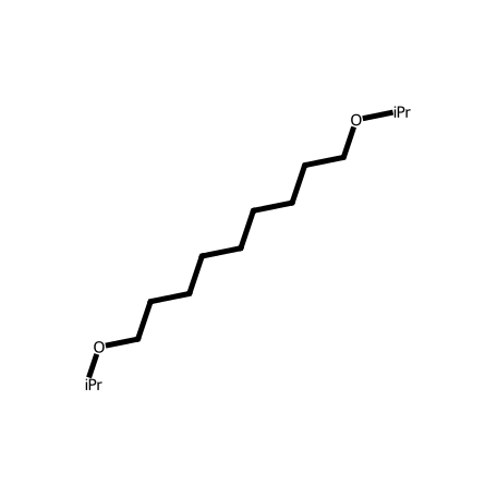 CC(C)OCCCCCCCCCOC(C)C